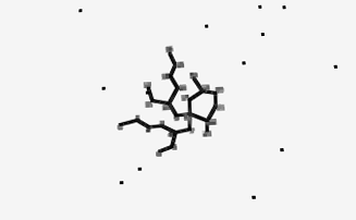 CCCCC(CC)CC1(CC(CC)CCCC)CC(C)CCC1C